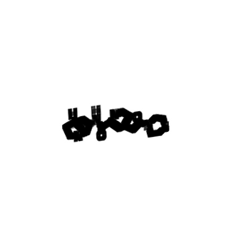 O=C(N[C@@H]1C[C@H]2CCN(C2)C1)c1cc2cc(N3CCSCC3)oc2cn1